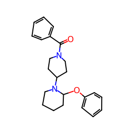 O=C(c1ccccc1)N1CCC(N2CCCCC2Oc2ccccc2)CC1